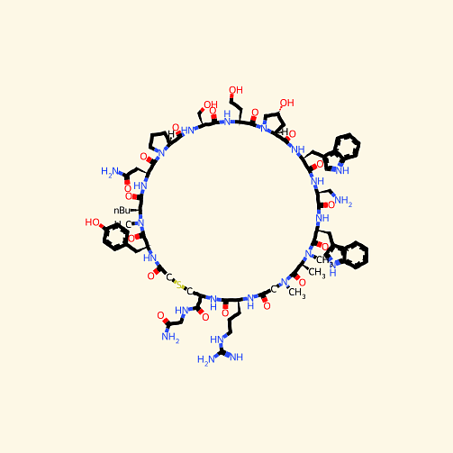 CCCC[C@H]1C(=O)N[C@@H](CC(N)=O)C(=O)N2CCC[C@H]2C(=O)N[C@@H](CO)C(=O)N[C@@H](CCO)C(=O)N2C[C@H](O)C[C@H]2C(=O)N[C@@H](Cc2c[nH]c3ccccc23)C(=O)N[C@@H](CN)C(=O)N[C@@H](Cc2c[nH]c3ccccc23)C(=O)N(C)[C@@H](C)C(=O)N(C)CC(=O)N[C@@H](CCCNC(=N)N)C(=O)NC(C(=O)NCC(N)=O)CSCC(=O)N[C@@H](Cc2ccc(O)cc2)C(=O)N1C